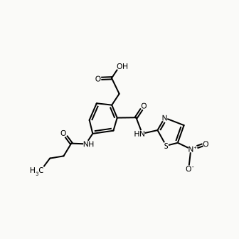 CCCC(=O)Nc1ccc(CC(=O)O)c(C(=O)Nc2ncc([N+](=O)[O-])s2)c1